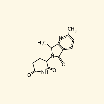 Cc1ccc2c(n1)C(C)N(C1CCC(=O)NC1=O)C2=O